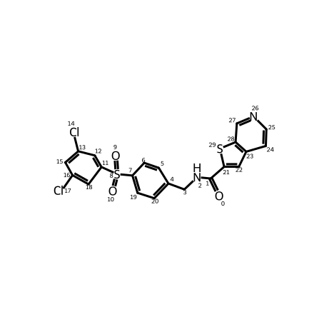 O=C(NCc1ccc(S(=O)(=O)c2cc(Cl)cc(Cl)c2)cc1)c1cc2ccncc2s1